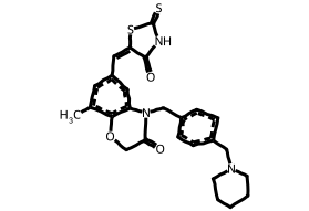 Cc1cc(C=C2SC(=S)NC2=O)cc2c1OCC(=O)N2Cc1ccc(CN2CCCCC2)cc1